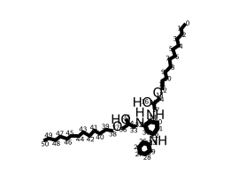 CCCCCCCCCCCCCOCC(O)CNc1ccc(Nc2ccccc2)cc1NCC(O)COCCCCCCCCCCCCC